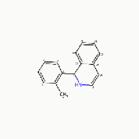 Cc1[c]cccc1C1NC=Cc2ccccc21